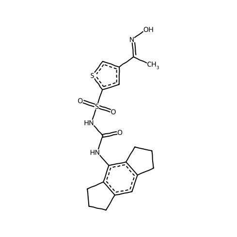 C/C(=N\O)c1csc(S(=O)(=O)NC(=O)Nc2c3c(cc4c2CCC4)CCC3)c1